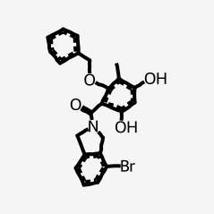 Cc1c(O)cc(O)c(C(=O)N2Cc3cccc(Br)c3C2)c1OCc1ccccc1